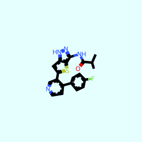 CC(C)C(=O)Nc1n[nH]c2cc(-c3cnccc3-c3ccc(F)cc3)sc12